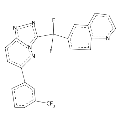 FC(F)(F)c1cccc(-c2ccc3nnc(C(F)(F)c4ccc5ncccc5c4)n3n2)c1